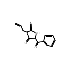 C=CCN1C(=O)C(C(=O)c2ccccc2)NC1=S